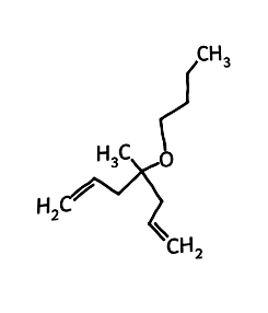 C=CCC(C)(CC=C)OCCCC